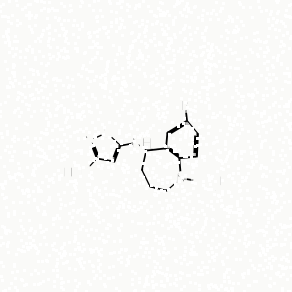 Cc1cc(NC2CCCN(C(=O)O)c3ccc(Br)cc32)sn1